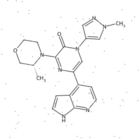 C[C@@H]1COCCN1c1nc(-c2ccnc3[nH]ccc23)cn(-c2cnn(C)c2)c1=O